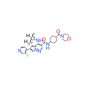 CC(C)Nc1c(C(=O)NC2CCC(C(=O)N3CCOCC3)CC2)cnn2cc(-c3ccncc3F)cc12